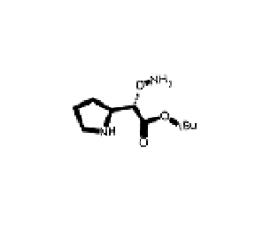 CC(C)(C)OC(=O)[C@@H](ON)C1CCCN1